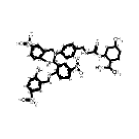 CC1CCC(C(C)C)C(OC(=O)NCc2ccc(N(Cc3cc([N+](=O)[O-])ccc3O)Cc3cc([N+](=O)[O-])ccc3OCc3cc([N+](=O)[O-])ccc3O)cc2)C1